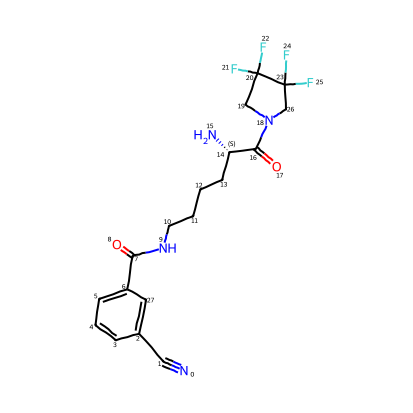 N#Cc1cccc(C(=O)NCCCC[C@H](N)C(=O)N2CC(F)(F)C(F)(F)C2)c1